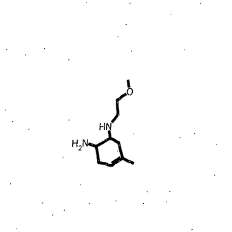 COCCNC1CC(C)=CCC1N